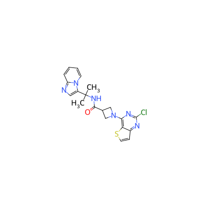 CC(C)(NC(=O)C1CN(c2nc(Cl)nc3ccsc23)C1)c1cnc2ccccn12